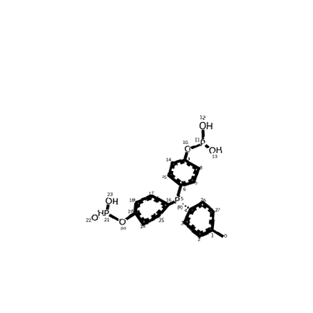 Cc1ccc([P@@](c2ccc(OP(O)O)cc2)c2ccc(O[PH](=O)O)cc2)cc1